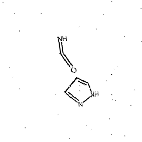 N=C=O.c1cn[nH]c1